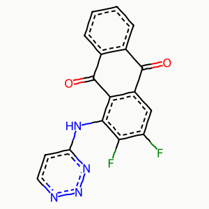 O=C1c2ccccc2C(=O)c2c1cc(F)c(F)c2Nc1ccnnn1